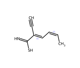 C#C/C(=C\C=C/C)C(=N)S